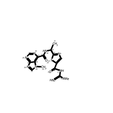 CNC(=N)NC(=O)c1cnc(C(C)NC(=O)c2ncnc3ncn(C)c23)s1